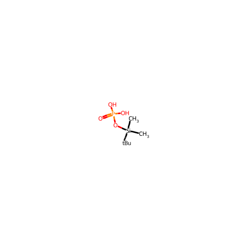 CC(C)(C)[Si](C)(C)OP(=O)(O)O